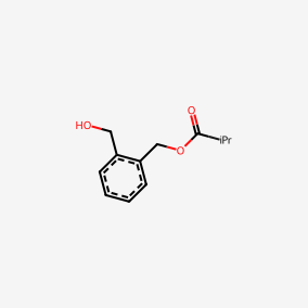 CC(C)C(=O)OCc1ccccc1CO